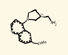 COc1ccc2nccc(N3CC[C@@H](CN)C3)c2c1